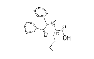 CCCC[C@@H](C(=O)O)N(C)C(C(=O)c1ccccc1)c1ccccc1